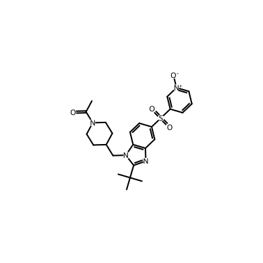 CC(=O)N1CCC(Cn2c(C(C)(C)C)nc3cc(S(=O)(=O)c4ccc[n+]([O-])c4)ccc32)CC1